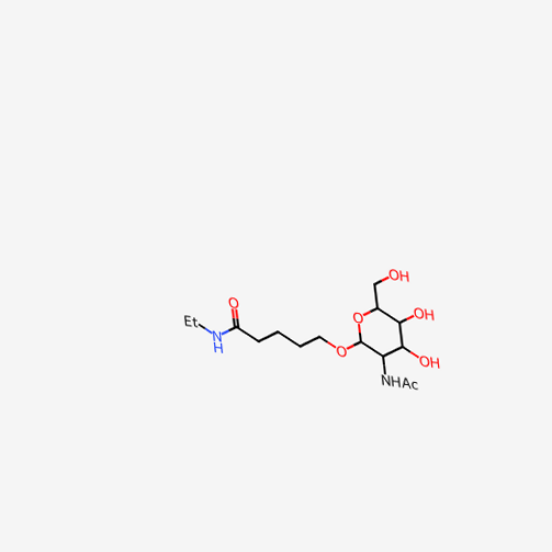 CCNC(=O)CCCCOC1OC(CO)C(O)C(O)C1NC(C)=O